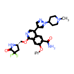 CC(C)Oc1cc2c(OC[C@@H]3CC(F)(F)C(=O)N3)ncc(-c3cnn(C4CCN(C)CC4)c3)c2cc1C(N)=O